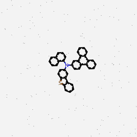 c1ccc2c(N(c3ccc4sc5ccccc5c4c3)c3ccc4c5ccccc5c5ccccc5c4c3)cccc2c1